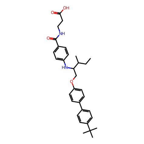 CCC(C)C(COc1ccc(-c2ccc(C(C)(C)C)cc2)cc1)Nc1ccc(C(=O)NCCC(=O)O)cc1